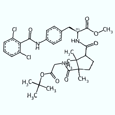 COC(=O)[C@H](Cc1ccc(NC(=O)c2c(Cl)cccc2Cl)cc1)NC(=O)C1CCC(C)(C(=O)NCC(=O)OC(C)(C)C)C1(C)C